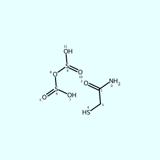 NC(=O)CS.O=S(O)OS(=O)O